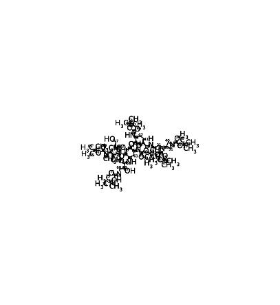 C[C@@H]([C@@H](O)[C@H](OCCO)O[C@@H]1[C@@H](O)[C@H](O[C@H]2OC(CNCCN(C(=O)OC(C)(C)C)C3CN(C(=O)OC(C)(C)C)C3)=CC[C@H]2NC(=O)OC(C)(C)C)[C@@H](NC(=O)OC(C)(C)C)C[C@H]1NC(=O)[C@@H](O)CNC(=O)OC(C)(C)C)N(C)C(=O)OC(C)(C)C